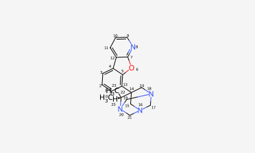 Cc1ccc2c(oc3ncccc32)c1C12CN3CN(CN(C3)[C@@H]1C)C2